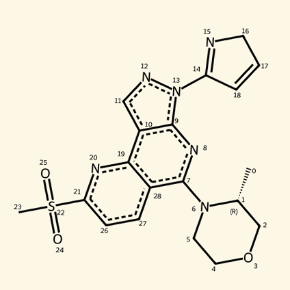 C[C@@H]1COCCN1c1nc2c(cnn2C2=NCC=C2)c2nc(S(C)(=O)=O)ccc12